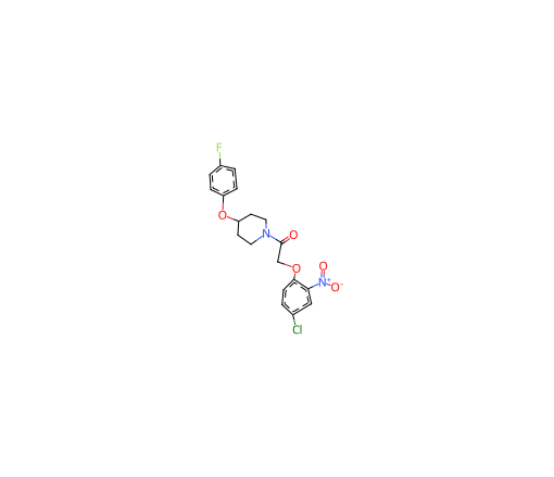 O=C(COc1ccc(Cl)cc1[N+](=O)[O-])N1CCC(Oc2ccc(F)cc2)CC1